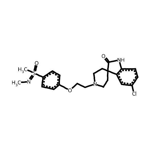 CN=S(C)(=O)c1ccc(OCCN2CCC3(CC2)C(=O)Nc2ccc(Cl)cc23)cc1